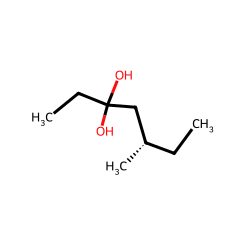 CC[C@H](C)CC(O)(O)CC